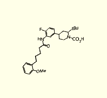 COc1ccccc1CCCCC(=O)Nc1cc(C2CCN(C(=O)O)C(C(C)(C)C)C2)ccc1F